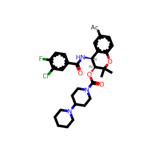 CC(=O)c1ccc2c(c1)[C@H](NC(=O)c1ccc(F)c(Cl)c1)[C@H](OC(=O)N1CCC(N3CCCCC3)CC1)C(C)(C)O2